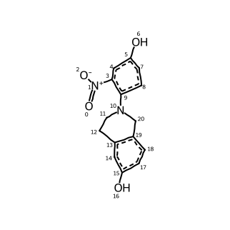 O=[N+]([O-])c1cc(O)ccc1N1CCc2cc(O)ccc2C1